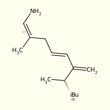 C=C(C=CC/C(C)=C\N)C(C)[C@@H](C)CC